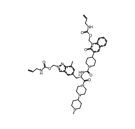 C=CCNC(=O)OCn1cc2cc(C[C@@H](NC(=O)N3CCC(c4cc5ccccc5n(COC(=O)NCC=C)c4=O)CC3)C(=O)N3CCN(C4CCN(C)CC4)CC3)cc(C)c2n1